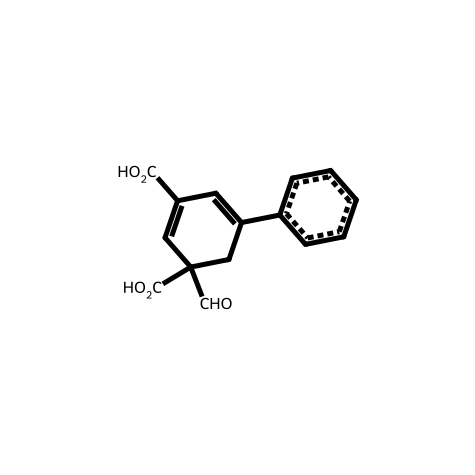 O=CC1(C(=O)O)C=C(C(=O)O)C=C(c2ccccc2)C1